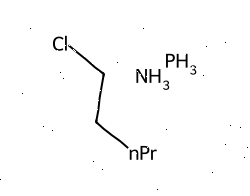 CCCCCCl.N.P